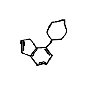 C1=Cc2cccc(C3CCCCC3)c2C1